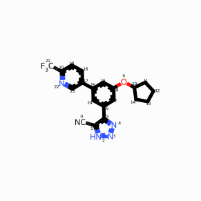 N#Cc1[nH]nnc1-c1cc(OC2CCCC2)cc(-c2ccc(C(F)(F)F)nc2)c1